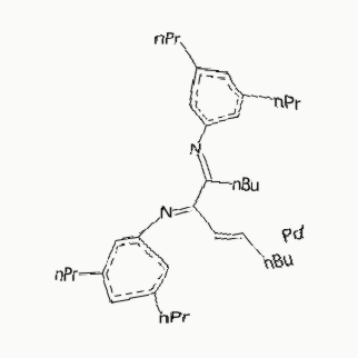 CCCC/C=C/C(=N\c1cc(CCC)cc(CCC)c1)C(/CCCC)=N/c1cc(CCC)cc(CCC)c1.[Pd]